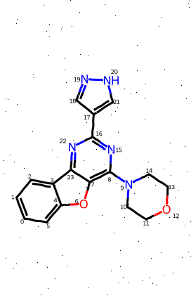 c1ccc2c(c1)oc1c(N3CCOCC3)nc(-c3cn[nH]c3)nc12